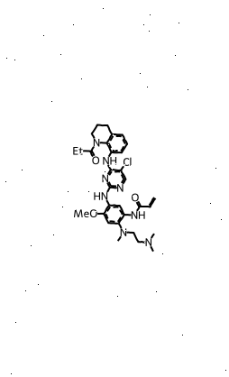 C=CC(=O)Nc1cc(Nc2ncc(Cl)c(Nc3cccc4c3N(C(=O)CC)CCC4)n2)c(OC)cc1N(C)CCN(C)C